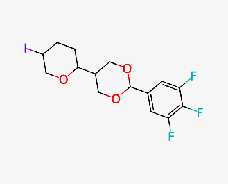 Fc1cc(C2OCC(C3CCC(I)CO3)CO2)cc(F)c1F